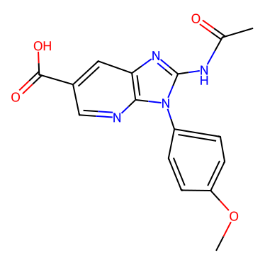 COc1ccc(-n2c(NC(C)=O)nc3cc(C(=O)O)cnc32)cc1